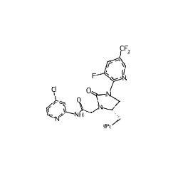 CC(C)C[C@H]1CN(c2ncc(C(F)(F)F)cc2F)C(=O)N1CC(=O)Nc1cc(Cl)ccn1